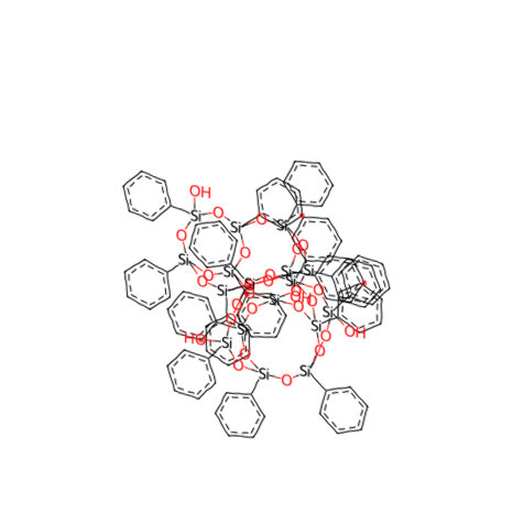 O[Si]1(c2ccccc2)O[Si]2(c3ccccc3)O[Si]3(c4ccccc4)O[Si]4(O[Si]5(c6ccccc6)O[Si](c6ccccc6)(O[Si](O)(c6ccccc6)O[Si](c6ccccc6)(O5)O[Si](c5ccccc5)(O1)O3)O2)O[Si]1(c2ccccc2)O[Si]2(c3ccccc3)O[Si](O)(c3ccccc3)O[Si](c3ccccc3)(O1)O[Si]1(c3ccccc3)O[Si](O)(c3ccccc3)O[Si](c3ccccc3)(O[Si](c3ccccc3)(O4)O1)O2